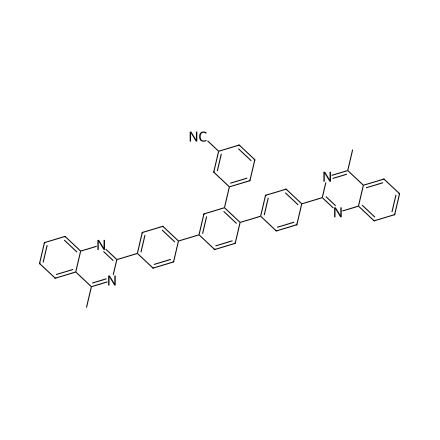 Cc1nc(-c2ccc(-c3ccc(-c4ccc(-c5nc(C)c6ccccc6n5)cc4)c(-c4cccc(C#N)c4)c3)cc2)nc2ccccc12